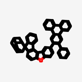 c1ccc(-c2cc3c4ccccc4c4ccccc4c3cc2-c2ccc3oc4ccc5c(c4c3c2)-c2ccccc2C52C3CC4CC(C3)CC2C4)cc1